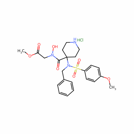 COC(=O)CN(O)C(=O)C1(N(Cc2ccccc2)S(=O)(=O)c2ccc(OC)cc2)CCNCC1.Cl